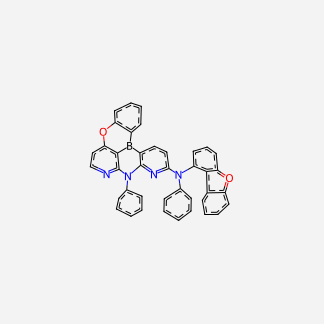 c1ccc(N2c3nc(N(c4ccccc4)c4cccc5oc6ccccc6c45)ccc3B3c4ccccc4Oc4ccnc2c43)cc1